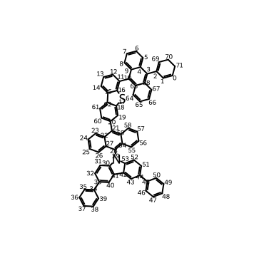 C1=CC(c2c3ccccc3c(-c3cccc4c3sc3cc(-c5c6ccccc6c(-n6c7ccc(-c8ccccc8)cc7c7cc(-c8ccccc8)ccc76)c6ccccc56)ccc34)c3ccccc23)=CCC1